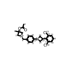 CC(=O)OC1(C)CN(Cc2ccc(N3CC(c4c(Cl)cccc4Cl)C3)cc2)C1